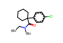 CC(C)(C)CN(C(=O)C1(c2ccc(Cl)cc2)CCCCC1)C(C)(C)C